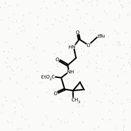 CCOC(=O)C(NC(=O)CNC(=O)OC(C)(C)C)C(=O)C1(C)CC1